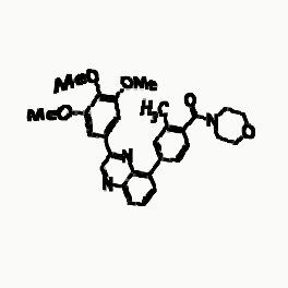 COc1cc(-c2cnc3cccc(-c4ccc(C(=O)N5CCOCC5)c(C)c4)c3n2)cc(OC)c1OC